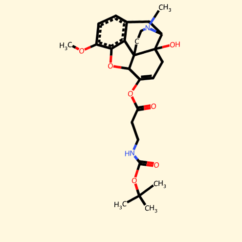 COc1ccc2c3c1OC1C(OC(=O)CCNC(=O)OC(C)(C)C)=CCC4(O)C(C2)N(C)CCC314